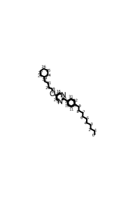 CCCCCCCCCCc1ccc(-c2ncc(OCCCCC3CCCCC3)cn2)cc1